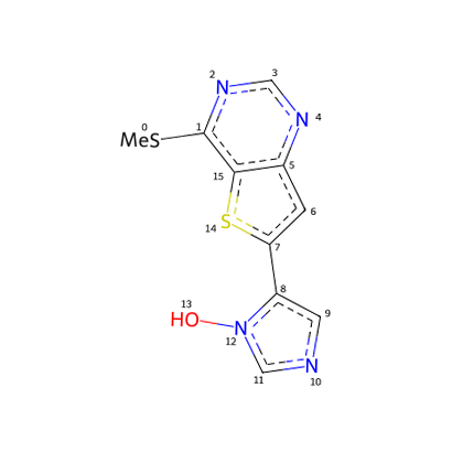 CSc1ncnc2cc(-c3cncn3O)sc12